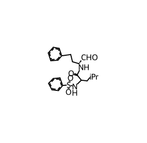 CC(C)CC(NS(=O)(=O)c1ccccc1)C(=O)N[C@H](C=O)CCc1ccccc1